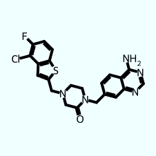 Nc1ncnc2cc(CN3CCN(Cc4cc5c(Cl)c(F)ccc5s4)CC3=O)ccc12